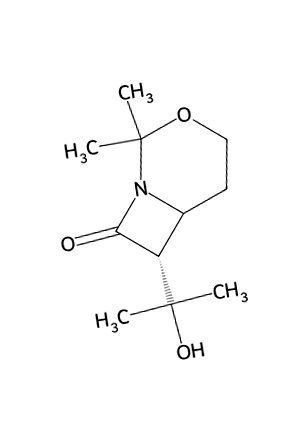 CC(C)(O)[C@@H]1C(=O)N2C1CCOC2(C)C